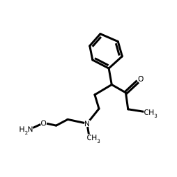 CCC(=O)C(CCN(C)CCON)c1ccccc1